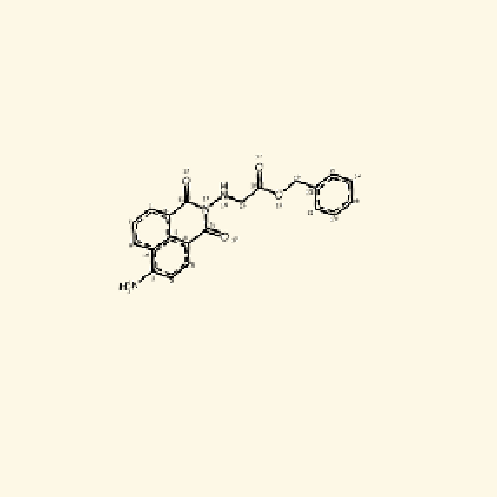 Nc1ccc2c3c(cccc13)C(=O)N(NCC(=O)OCc1ccccc1)C2=O